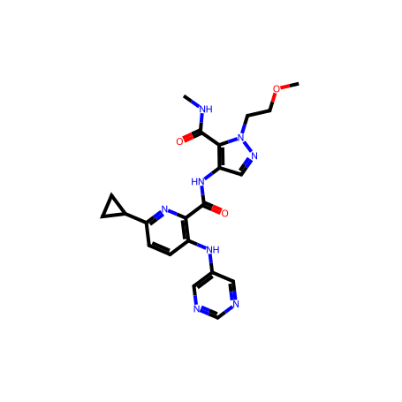 CNC(=O)c1c(NC(=O)c2nc(C3CC3)ccc2Nc2cncnc2)cnn1CCOC